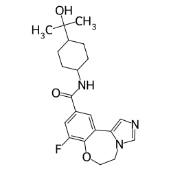 CC(C)(O)C1CCC(NC(=O)c2cc(F)c3c(c2)-c2cncn2CCO3)CC1